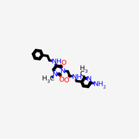 Cc1nc(N)ccc1CNC(=O)Cn1c(=O)c(NCCc2ccccc2)cn(C)c1=O